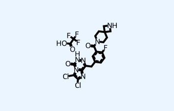 O=C(O)C(F)(F)F.O=C(c1cc(Cc2n[nH]c(=O)n3c(Cl)c(Cl)nc23)ccc1F)N1CCC2(CC1)CNC2